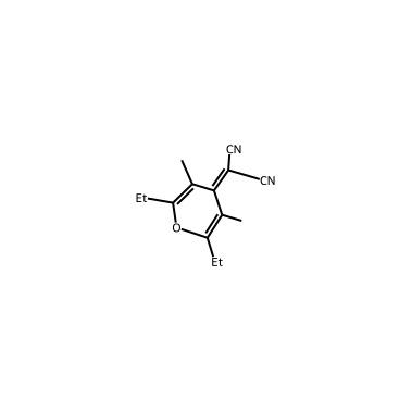 CCC1=C(C)C(=C(C#N)C#N)C(C)=C(CC)O1